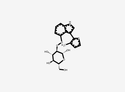 Cc1ccsc1-c1c[nH]c2cccc(OO[C@@H]3[C@@H](O)[C@H](O)[C@@H](CO)O[C@H]3O)c12